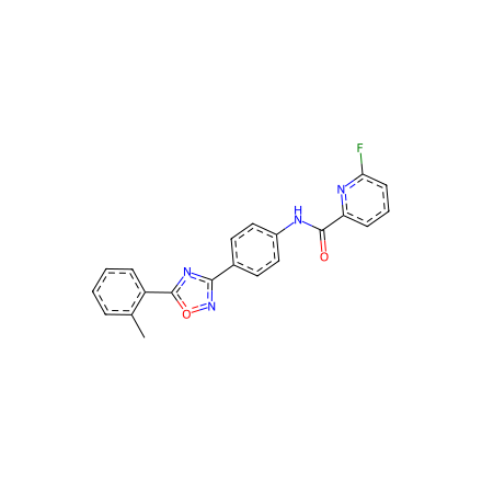 Cc1ccccc1-c1nc(-c2ccc(NC(=O)c3cccc(F)n3)cc2)no1